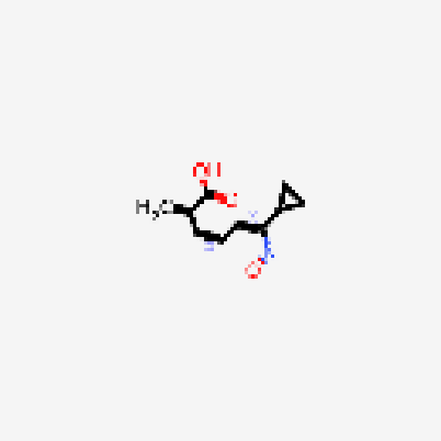 C=C(/C=C\C=C(/N=O)C1CC1)C(=O)O